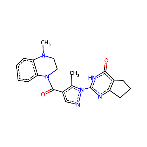 Cc1c(C(=O)N2CCN(C)c3ccccc32)cnn1-c1nc2c(c(=O)[nH]1)CCC2